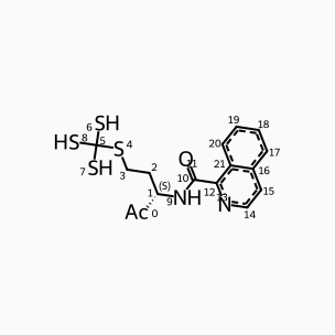 CC(=O)[C@H](CCSC(S)(S)S)NC(=O)c1nccc2ccccc12